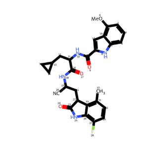 COc1cccc2[nH]c(C(=O)NC(CC3CC3)C(=O)NC(C#N)CC3C(=O)Nc4c(F)ccc(C)c43)cc12